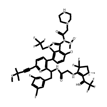 CSC(C)(C)C#Cc1ccc(-c2ccc(Cl)c3c(N(C(=O)CN4CCNCC4)[S+](C)[O-])nn(CC(F)(F)F)c23)c(C(Cc2cc(F)cc(F)c2)NC(=O)CNC2=C(C(=N)C(F)(F)F)[C@@H](C)CC2(F)F)n1